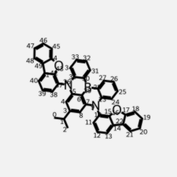 CC(C)c1cc2c3c(c1)N(c1cccc4c1oc1ccccc14)c1ccccc1B3c1ccccc1N2c1cccc2c1oc1ccccc12